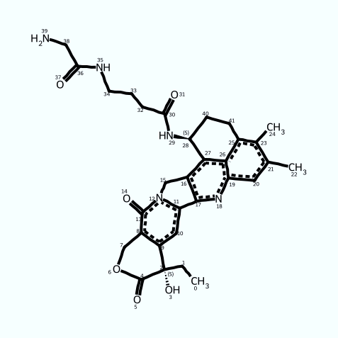 CC[C@@]1(O)C(=O)OCc2c1cc1n(c2=O)Cc2c-1nc1cc(C)c(C)c3c1c2[C@@H](NC(=O)CCCNC(=O)CN)CC3